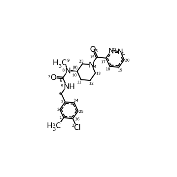 Cc1cc(CNC(=O)N(C)[C@@H]2CCCN(C(=O)c3cccnn3)C2)ccc1Cl